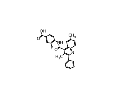 Cc1ccc2nc(-c3ccccc3)c(C)c(C(=O)Nc3ccc(C(=O)O)cc3F)c2c1